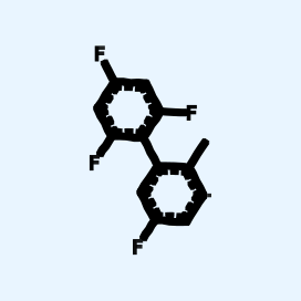 Cc1[c]cc(F)cc1-c1c(F)cc(F)cc1F